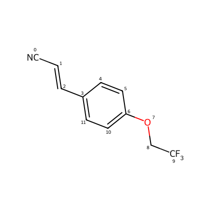 N#CC=Cc1ccc(OCC(F)(F)F)cc1